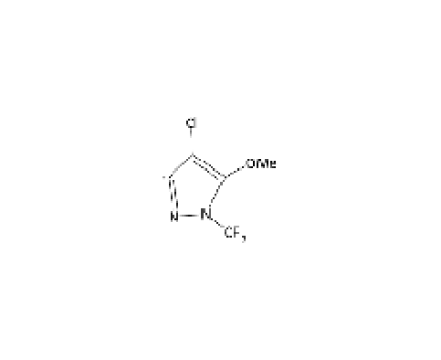 COc1c(Cl)[c]nn1C(F)(F)F